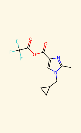 Cc1nc(C(=O)OC(=O)C(F)(F)F)cn1CC1CC1